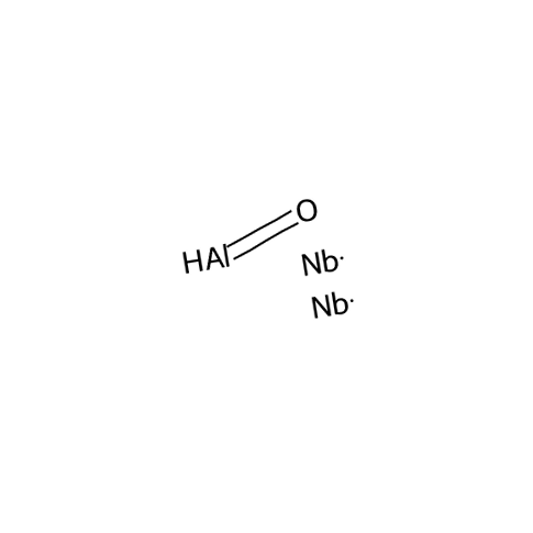 [Nb].[Nb].[O]=[AlH]